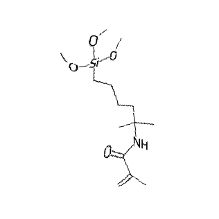 C=C(C)C(=O)NC(C)(C)CCCC[Si](OC)(OC)OC